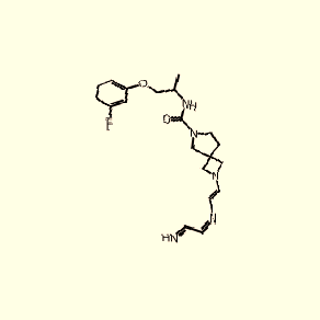 CC(COC1=CCCC(F)=C1)NC(=O)N1CCC2(CN(/C=C/N=C\C=N)C2)C1